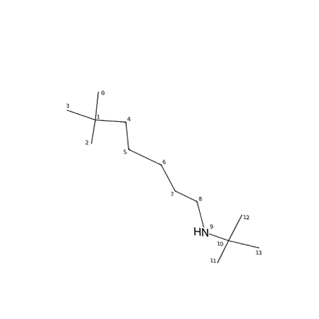 CC(C)(C)CCCCCNC(C)(C)C